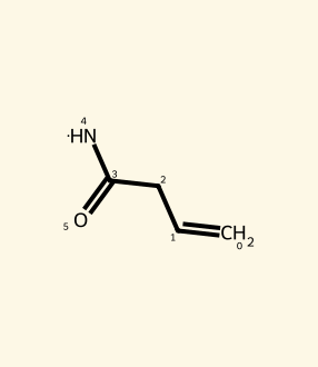 C=CCC([NH])=O